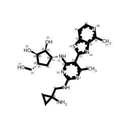 Cc1nc(NCC2(N)CC2)nc(N[C@@H]2C[C@H](CO)[C@@H](O)[C@H]2O)c1-c1nc2c(C)nccc2s1